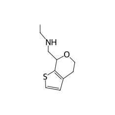 CCNCC1OCCc2ccsc21